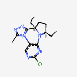 CC[C@@H]1CC[C@@]2(CC)c3nnc(C)n3-c3cnc(Cl)nc3N12